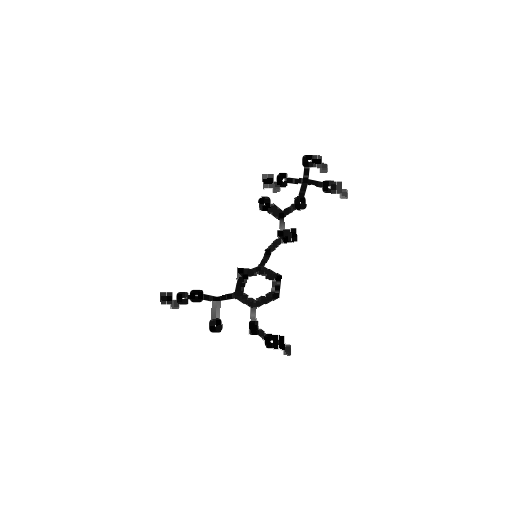 COC(=O)c1nc(CNC(=O)OC(C)(C)C)ccc1SC